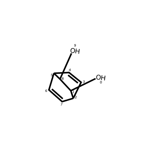 OC1C2C=CC(C=C2)C1O